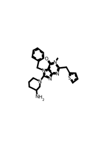 Cn1c(Cc2cccs2)nc2nc(N3CCCC(N)C3)n(Cc3ccccc3)c2c1=O